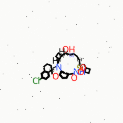 C[C@H]1C/C=C/[C@H](O)[C@@H]2CC[C@H]2CN2C[C@@]3(CCCc4cc(Cl)ccc43)COc3ccc(cc32)C(=O)NS(=O)(=O)[C@H]1CC1CCC1